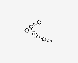 O=C(C=Cc1ccc(O)cc1)CC(=O)C=Cc1cc(OCc2ccccc2)ccc1-c1ccccc1